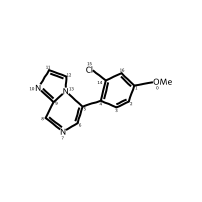 COc1ccc(-c2cncc3nccn23)c(Cl)c1